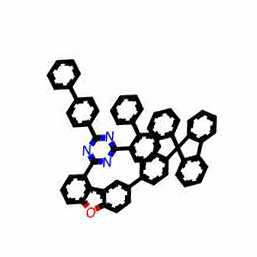 c1ccc(-c2ccc(-c3nc(-c4ccccc4-c4ccccc4)nc(-c4cccc5oc6ccc(-c7ccc8c(c7)-c7ccccc7C87c8ccccc8-c8ccccc87)cc6c45)n3)cc2)cc1